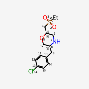 CCS(=O)(=O)C[C@H]1CN[C@@H](Cc2ccc(Cl)cc2)CO1